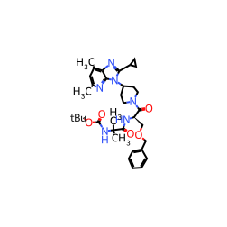 Cc1cc(C)c2nc(C3CC3)n(C3CCN(C(=O)[C@@H](COCc4ccccc4)NC(=O)C(C)(C)NC(=O)OC(C)(C)C)CC3)c2n1